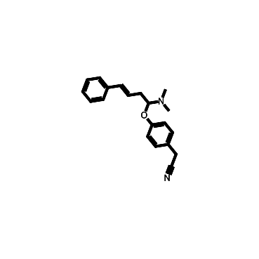 CN(C)C(CC=Cc1ccccc1)Oc1ccc(CC#N)cc1